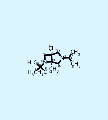 CC(C)N1C[C@]2(C)CN(C(C)(C)C)[C@]2(C)C1